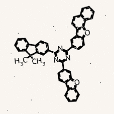 CC1(C)c2ccccc2-c2ccc(-c3nc(-c4ccc5c(c4)oc4ccccc45)nc(-c4ccc5oc6c7ccccc7ccc6c5c4)n3)cc21